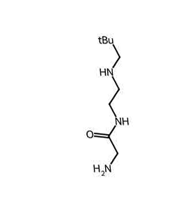 CC(C)(C)CNCCNC(=O)CN